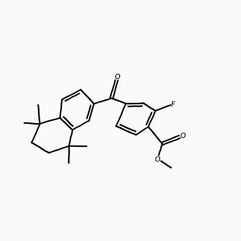 COC(=O)c1ccc(C(=O)c2ccc3c(c2)C(C)(C)CCC3(C)C)cc1F